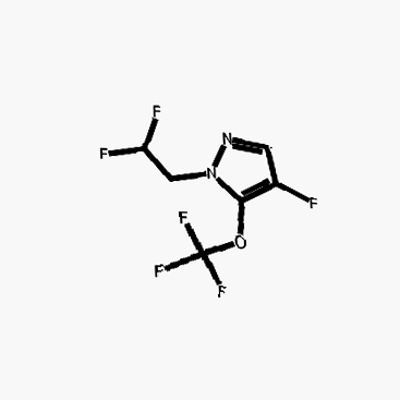 Fc1[c]nn(CC(F)F)c1OC(F)(F)F